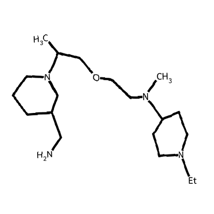 CCN1CCC(N(C)CCOCC(C)N2CCCC(CN)C2)CC1